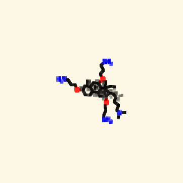 C[C@H](CCCN(C)C)[C@H]1CC[C@H]2[C@@H]3[C@H](OCCCN)C[C@@H]4C[C@H](OCCCN)CC[C@]4(C)[C@H]3C[C@H](OCCCN)[C@]12C